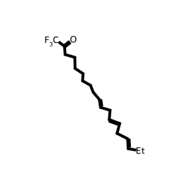 CC/C=C/C/C=C/C/C=C/CCCCCCCC(=O)C(F)(F)F